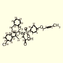 CC#CCOc1ccc(S(=O)(=O)N[C@@H](Cc2c(C)n(Cc3ccccc3)c3ccc(Cl)cc23)C(=O)O)cc1